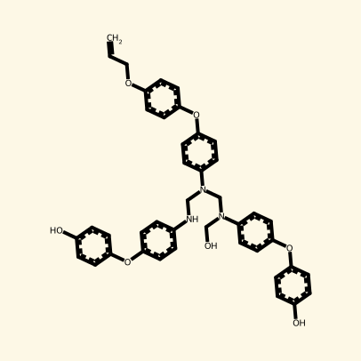 C=CCOc1ccc(Oc2ccc(N(CNc3ccc(Oc4ccc(O)cc4)cc3)CN(CO)c3ccc(Oc4ccc(O)cc4)cc3)cc2)cc1